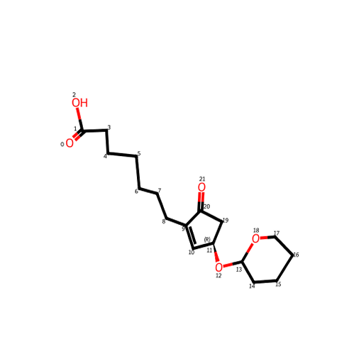 O=C(O)CCCCCCC1=C[C@H](OC2CCCCO2)CC1=O